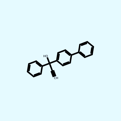 C#CC(O)(c1ccccc1)c1ccc(-c2ccccc2)cc1